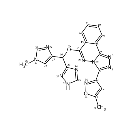 Cc1cc(-c2nnc3c4ccccc4c(OC(c4cn(C)cn4)c4nc[nH]n4)nn23)no1